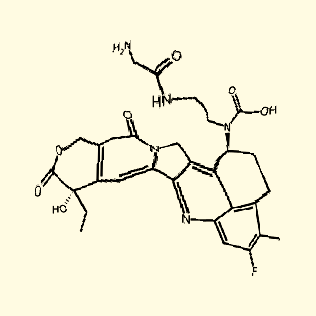 CC[C@@]1(O)C(=O)OCc2c1cc1n(c2=O)Cc2c-1nc1cc(F)c(C)c3c1c2[C@@H](N(CCNC(=O)CN)C(=O)O)CC3